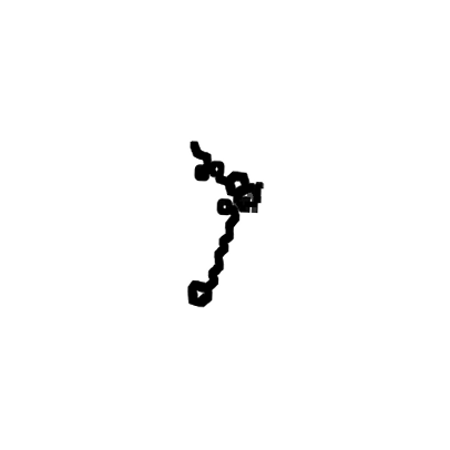 CCCC(=O)OCc1ccc(N(C)C)c(NC(=O)CCCCCCCCCc2ccccc2)c1